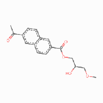 COCC(O)COC(=O)c1ccc2cc(C(C)=O)ccc2c1